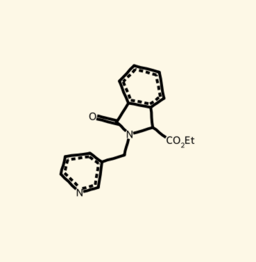 CCOC(=O)C1c2ccccc2C(=O)N1Cc1cccnc1